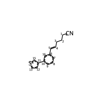 N#CCCCC=Cc1cccc(-c2ccsc2)c1